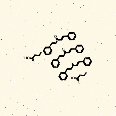 CCCC(=O)O.CCCC(=O)O.O=C(C=Cc1ccccc1)C=Cc1ccccc1.O=C(C=Cc1ccccc1)C=Cc1ccccc1.O=C(C=Cc1ccccc1)C=Cc1ccccc1